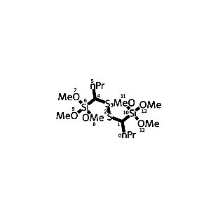 CCCC(SSC(CCC)[Si](OC)(OC)OC)[Si](OC)(OC)OC